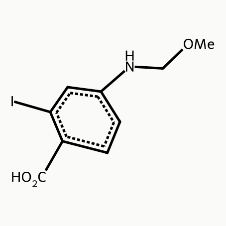 COCNc1ccc(C(=O)O)c(I)c1